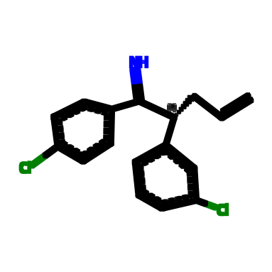 C=CC[C@@H](C(=N)c1ccc(Cl)cc1)c1cccc(Cl)c1